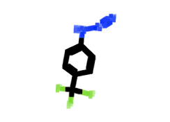 N#[N+]Nc1ccc(C(F)(F)F)cc1